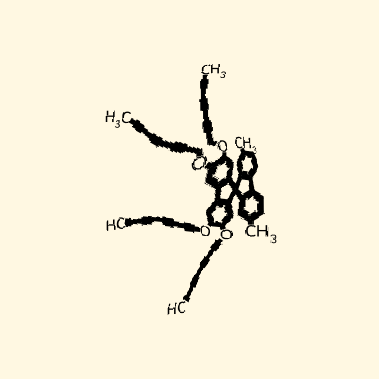 C#CC#CC#CC#COc1cc2c(cc1OC#CC#CC#CC#C)C1(c3cc(C)ccc3-c3ccc(C)cc31)c1cc(OCC#CC#CC#CC)c(OCC#CC#CC#CC)cc1-2